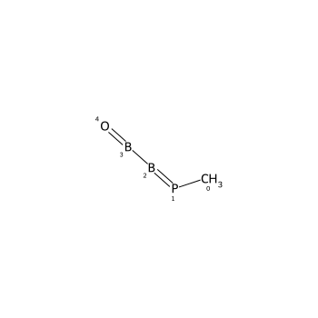 CP=BB=O